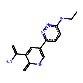 C=C(N)C1=CC(c2ccc(NCC)nn2)=CNC1=C